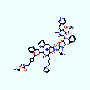 CCCC[C@H](NC(=O)[C@H](Cc1cccnc1)NC(=O)[C@H](CCCn1ccnc1)N(C)C(=O)[C@H](Cc1ccccc1)OC(=O)C1CC(CNC(=O)OC(C)(C)C)C1)C(=O)N[C@@H](Cc1ccccc1F)C(=O)N[C@@H](CCCC)C(=O)N(C)[C@@H](Cc1cccnc1)C(=O)OC(C)(C)C